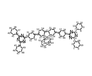 c1ccc(-c2nc(-c3ccccc3)nc(-c3ccc(-c4ccc5c(c4)C4(c6cc(-c7ccc(-c8nc(-c9ccccc9)nc(-c9ccccc9)n8)cc7)ccc6-5)C5CC6CC(C5)CC4C6)cc3)n2)cc1